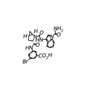 NC(=O)n1cc(NC(=O)N2[C@@H]3C[C@@H]3C[C@H]2C(=O)Nc2cc(Br)cc(C(=O)O)c2)c2ccccc21